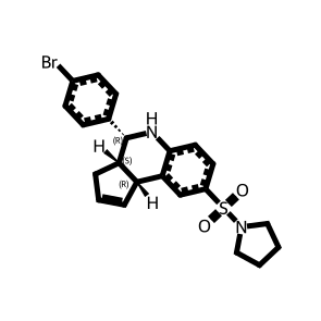 O=S(=O)(c1ccc2c(c1)[C@@H]1C=CC[C@@H]1[C@H](c1ccc(Br)cc1)N2)N1CCCC1